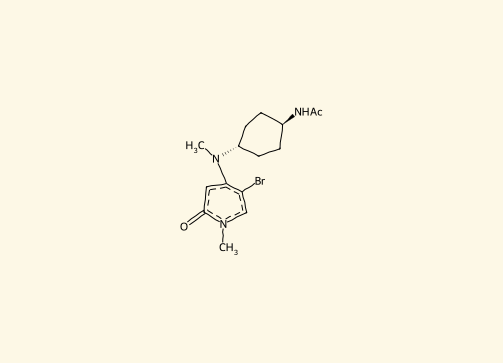 CC(=O)N[C@H]1CC[C@H](N(C)c2cc(=O)n(C)cc2Br)CC1